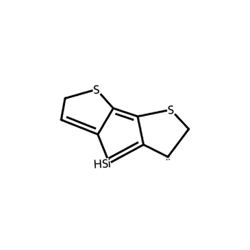 [C]1CSC2=C3SCC=C3[SiH]=C12